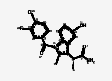 Cc1c([C@@H](C)C(N)=O)c2cc(O)ccc2n1C(=O)c1ccc(Cl)c(F)c1